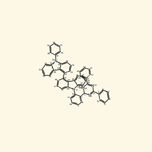 c1ccc(C2=NC(c3ccccc3-n3c4ccccc4c4c(-c5cccc6c5c5ccccc5n6-c5ccccc5)cccc43)NC(c3ccccc3)=N2)cc1